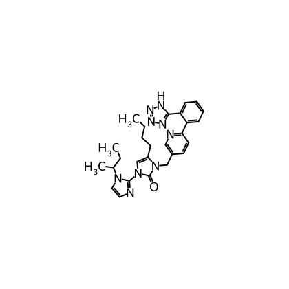 CCCCc1cn(-c2nccn2C(C)CC)c(=O)n1Cc1ccc(-c2ccccc2-c2nnn[nH]2)nc1